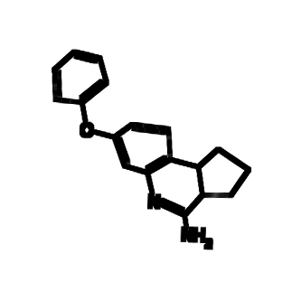 NC1=Nc2cc(Oc3ccccc3)ccc2C2CCCC12